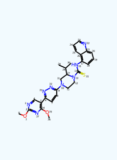 COc1ncc(-c2ccc(N3CCN(C(=S)Nc4cccc5ncccc45)C(C(C)C)C3)nn2)c(OC)n1